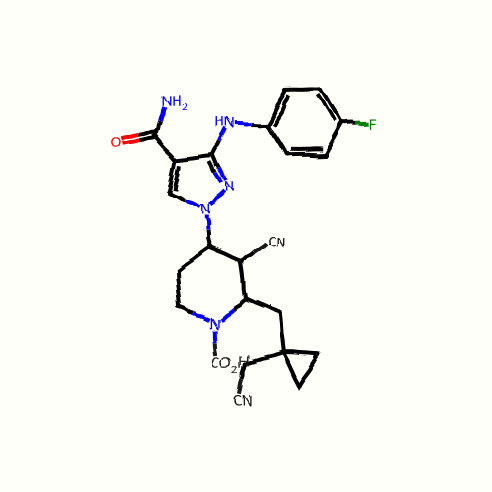 N#CCC1(CC2C(C#N)C(n3cc(C(N)=O)c(Nc4ccc(F)cc4)n3)CCN2C(=O)O)CC1